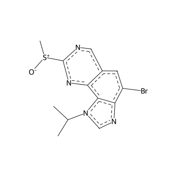 CC(C)n1cnc2c(Br)cc3cnc([S+](C)[O-])nc3c21